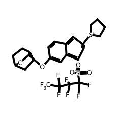 O=S(=O)([O-])C(F)(F)C(F)(F)C(F)(F)C(F)(F)F.c1cc2cc([S+]3CCCC3)ccc2cc1OC1CC2CCC1CC2